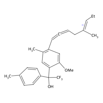 CC/C=C(\C)CC=C=Cc1cc(OC)c(C(O)(c2ccc(C)cc2)C(F)(F)F)cc1C